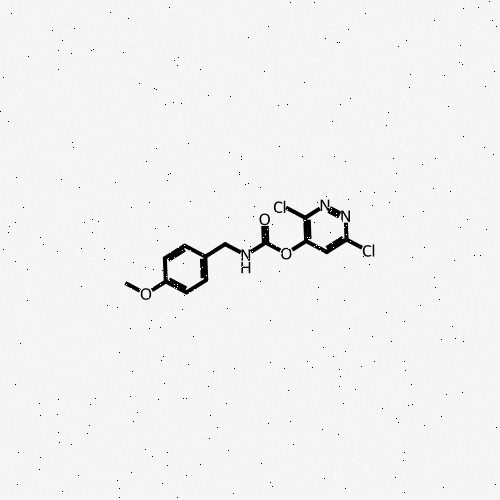 COc1ccc(CNC(=O)Oc2cc(Cl)nnc2Cl)cc1